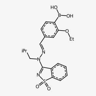 CCOc1cc(/C=N/N(CC(C)C)C2=NS(=O)(=O)c3ccccc32)ccc1B(O)O